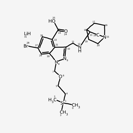 C[Si](C)(C)CCOCn1nc(CNC2CN3CCC2CC3)c2c(C(=O)O)cc(Br)cc21.[LiH]